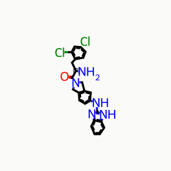 N[C@H](Cc1ccc(Cl)cc1Cl)C(=O)N1Cc2ccc(Nc3nc4ccccc4[nH]3)cc2C1